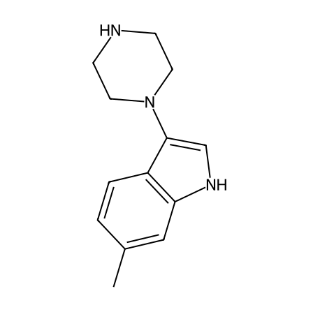 Cc1ccc2c(N3CCNCC3)c[nH]c2c1